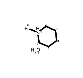 CC(C)[SiH]1CCCCC1.O